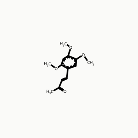 COc1cc(OC)c(OC)cc1/C=C/C(C)=O